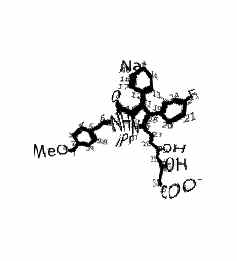 COCc1ccc(CNC(=O)c2c(-c3ccccc3)c(-c3ccc(F)cc3)c(CC[C@@H](O)C[C@@H](O)CC(=O)[O-])n2C(C)C)cc1.[Na+]